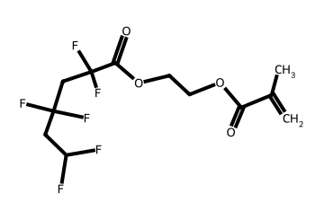 C=C(C)C(=O)OCCOC(=O)C(F)(F)CC(F)(F)CC(F)F